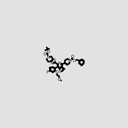 COCCOc1cc(F)ccc1-c1c(-c2nc3c(s2)CN(C(=O)OC(C)(C)C)CC3)nc(C2=CCN(C(=O)OCc3ccccc3)CC2)c2ccsc12